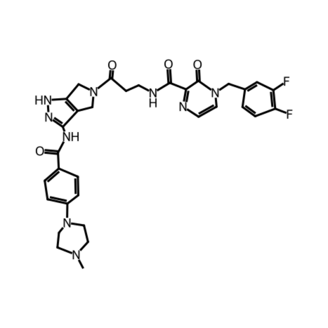 CN1CCN(c2ccc(C(=O)Nc3n[nH]c4c3CN(C(=O)CCNC(=O)c3nccn(Cc5ccc(F)c(F)c5)c3=O)C4)cc2)CC1